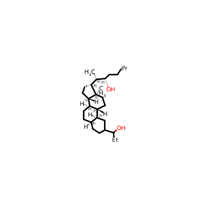 CCC(O)C1CC[C@H]2CC[C@@H]3[C@H](CC[C@]4(C)[C@@H]([C@H](C)[C@@H](O)CCC(C)C)CC[C@@H]34)[C@H]2C1